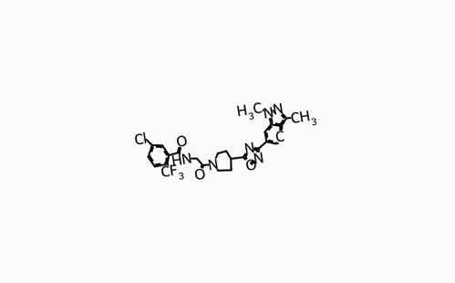 Cc1nn(C)c2cc(-c3noc(C4CCN(C(=O)CNC(=O)c5cc(Cl)ccc5C(F)(F)F)CC4)n3)ccc12